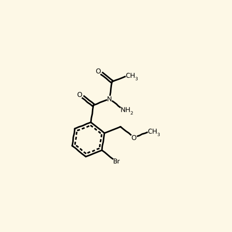 COCc1c(Br)cccc1C(=O)N(N)C(C)=O